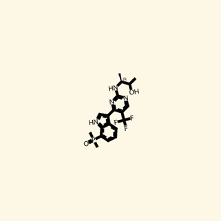 CC(O)[C@H](C)Nc1ncc(C(F)(F)F)c(-c2c[nH]c3c(P(C)(C)=O)cccc23)n1